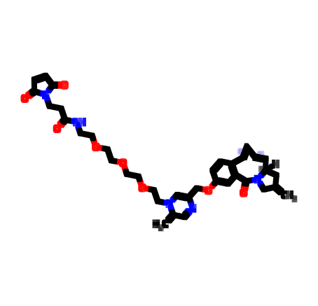 C=C1C[C@H]2/C=C/C=C/c3ccc(OCC4=CN(CCOCCOCCOCCNC(=O)CCN5C(=O)C=CC5=O)C(=C)C=N4)cc3C(=O)N2C1